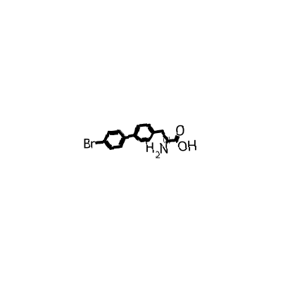 N[C@@H](Cc1ccc(-c2ccc(Br)cc2)cc1)C(=O)O